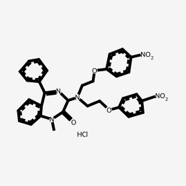 CN1C(=O)C(N(CCOc2ccc([N+](=O)[O-])cc2)CCOc2ccc([N+](=O)[O-])cc2)N=C(c2ccccc2)c2ccccc21.Cl